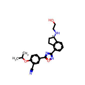 CC(C)Oc1ccc(-c2nc(-c3cccc4c3CC[C@H]4NCCO)no2)cc1C#N